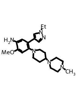 CCn1cc(-c2cc(N)c(OC)cc2N2CCC(N3CCN(C)CC3)CC2)cn1